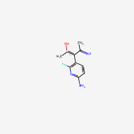 CC(=N)/C(=C(/C)O)c1ccc(N)nc1F